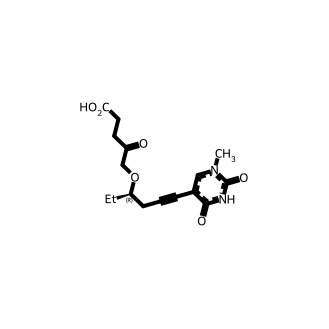 CC[C@H](CC#Cc1cn(C)c(=O)[nH]c1=O)OCC(=O)CCC(=O)O